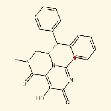 COc1nc(=O)c(O)c2n1[C@@H](C(c1ccccc1)c1ccccc1)CN(C)C2=O